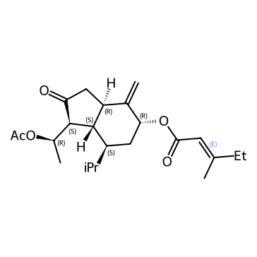 C=C1[C@H](OC(=O)/C=C(\C)CC)C[C@@H](C(C)C)[C@@H]2[C@@H]([C@@H](C)OC(C)=O)C(=O)C[C@@H]12